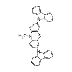 CN1c2ccc(-n3c4ccccc4c4ccccc43)cc2Sc2cc(-n3c4ccccc4c4ccccc43)ccc21